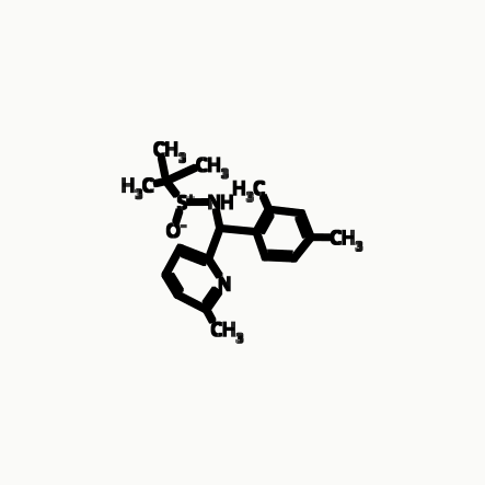 Cc1ccc(C(N[S+]([O-])C(C)(C)C)c2cccc(C)n2)c(C)c1